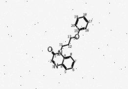 O=c1cnc2ccccc2n1CCCOc1ccccc1